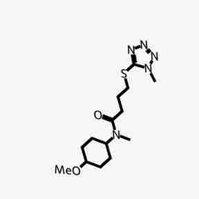 COC1CCC(N(C)C(=O)CCCSc2nnnn2C)CC1